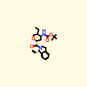 C=C[C@H]1c2ccccc2CCN1C(=O)[C@H]1C[C@H](NC(=O)OC(C)(C)C)C(CC)CO1